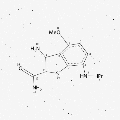 COc1ccc(NC(C)C)c2c1C(N)C(C(N)=O)S2